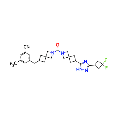 N#Cc1cc(CC2CC3(C2)CN(C(=O)N2CC4(CC(c5nc(C6CC(F)(F)C6)n[nH]5)C4)C2)C3)cc(C(F)(F)F)c1